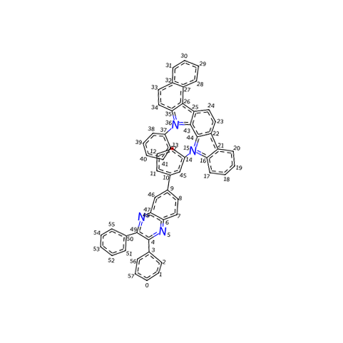 c1ccc(-c2nc3ccc(-c4cccc(-n5c6ccccc6c6ccc7c8c9ccccc9ccc8n(-c8ccccc8)c7c65)c4)cc3nc2-c2ccccc2)cc1